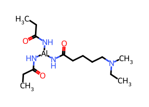 CCC(=O)[NH][Al]([NH]C(=O)CC)[NH]C(=O)CCCCN(C)CC